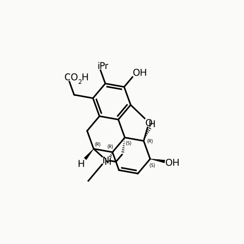 CC(C)c1c(O)c2c3c(c1CC(=O)O)C[C@@H]1[C@@H]4C=C[C@H](O)[C@H](O2)[C@]34CCN1C